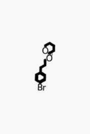 Brc1ccc(CCCO[C@H]2CCCCO2)cc1